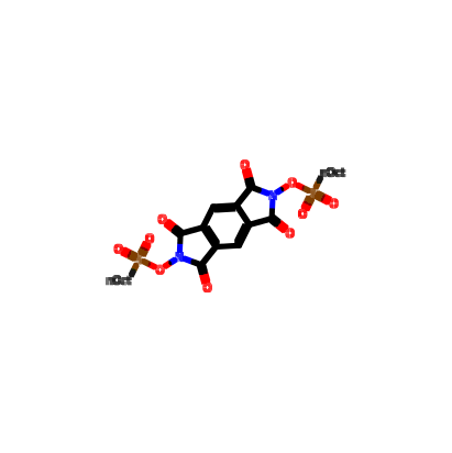 CCCCCCCCS(=O)(=O)On1c(=O)c2cc3c(=O)n(OS(=O)(=O)CCCCCCCC)c(=O)c3cc2c1=O